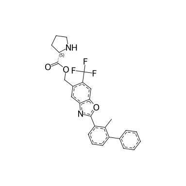 Cc1c(-c2ccccc2)cccc1-c1nc2cc(COC(=O)[C@@H]3CCCN3)c(C(F)(F)F)cc2o1